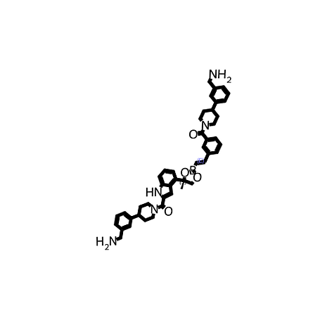 C[C@]1(c2cccc3[nH]c(C(=O)N4CCC(c5cccc(CN)c5)CC4)cc23)COB(/C=C/c2cccc(C(=O)N3CCC(c4cccc(CN)c4)CC3)c2)O1